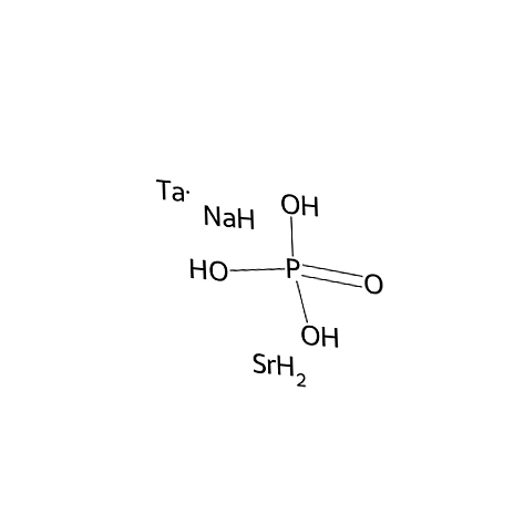 O=P(O)(O)O.[NaH].[SrH2].[Ta]